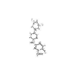 COc1nc(Nc2ccc(N3C[C@@H](C)O[C@@H](C)C3)cc2)ncc1F